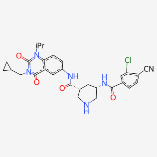 CC(C)n1c(=O)n(CC2CC2)c(=O)c2cc(NC(=O)[C@H]3CNC[C@@H](NC(=O)c4ccc(C#N)c(Cl)c4)C3)ccc21